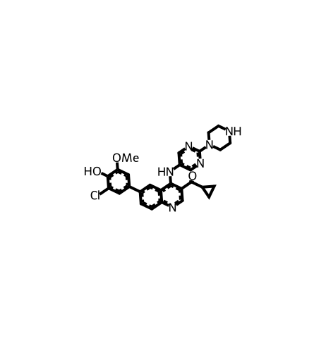 COc1cc(-c2ccc3ncc(C(=O)C4CC4)c(Nc4cnc(N5CCNCC5)nc4)c3c2)cc(Cl)c1O